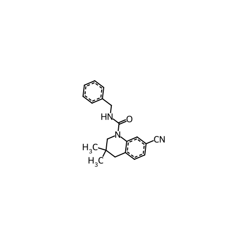 CC1(C)Cc2ccc(C#N)cc2N(C(=O)NCc2ccccc2)C1